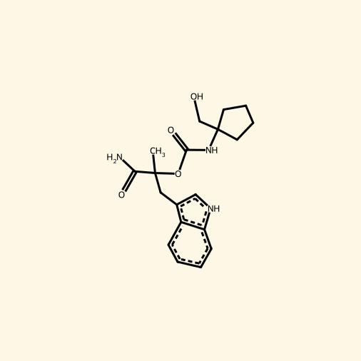 CC(Cc1c[nH]c2ccccc12)(OC(=O)NC1(CO)CCCC1)C(N)=O